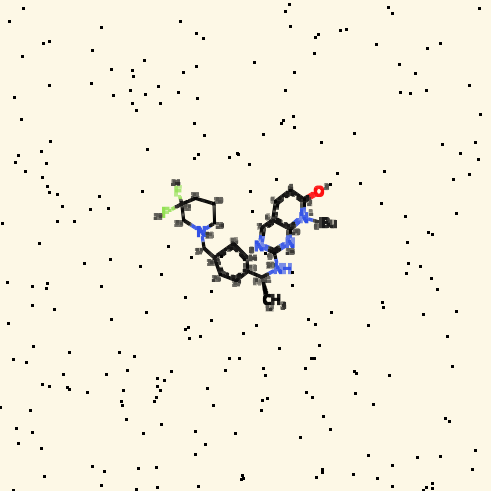 CCC(C)n1c(=O)ccc2cnc(N[C@@H](C)c3ccc(CN4CCCC(F)(F)C4)cc3)nc21